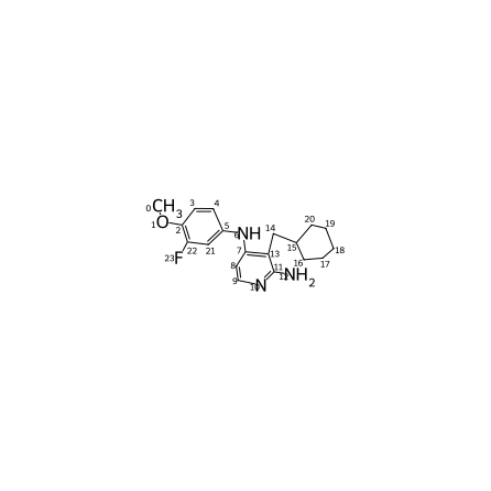 COc1ccc(Nc2ccnc(N)c2CC2CCCCC2)cc1F